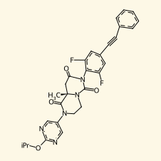 CC(C)Oc1ncc(N2CCN3C(=O)N(c4c(F)cc(C#Cc5ccccc5)cc4F)C(=O)C[C@@]3(C)C2=O)cn1